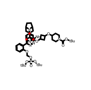 CC(C)(C)OC(=O)N1CCC(OC2CC(Oc3cc(N4C5CCC4CN(c4cc(-c6ccccc6OCOP(=O)(OC(C)(C)C)OC(C)(C)C)nnc4N)C5)ccn3)C2)CC1